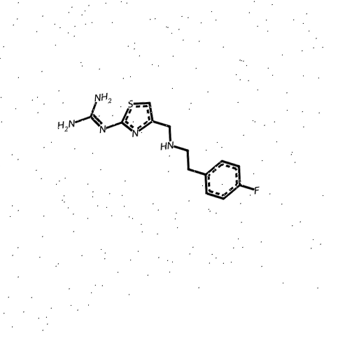 NC(N)=Nc1nc(CNCCc2ccc(F)cc2)cs1